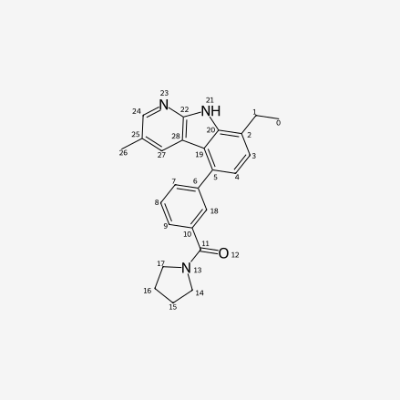 CCc1ccc(-c2cccc(C(=O)N3CCCC3)c2)c2c1[nH]c1ncc(C)cc12